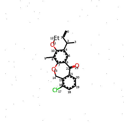 C=CC(C)c1cc2c(c(C)c1OCC)OCc1c(Cl)cccc1C2=O